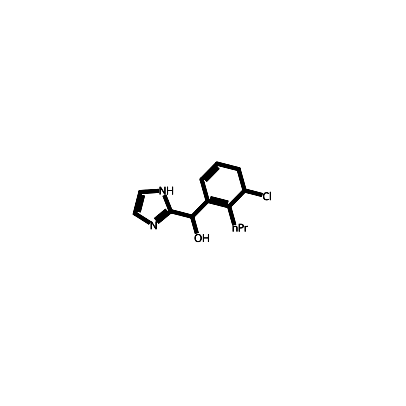 CCCC1=C(C(O)c2ncc[nH]2)C=CCC1Cl